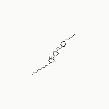 CCCCCCCCCc1cnc(-c2ccc(OCc3ccc(CCCCCC)cc3)cc2)nc1